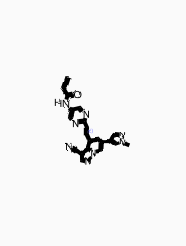 C=CC(=O)Nc1cnc(/C=C/c2cc(-c3cnn(C)c3)cn3ncc(C#N)c23)nc1